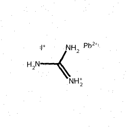 NC(N)=[NH2+].[I+].[Pb+2]